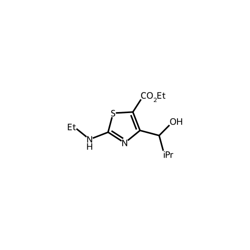 CCNc1nc(C(O)C(C)C)c(C(=O)OCC)s1